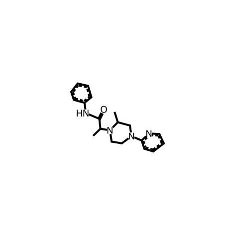 CC1CN(c2ccccn2)CCN1C(C)C(=O)Nc1ccccc1